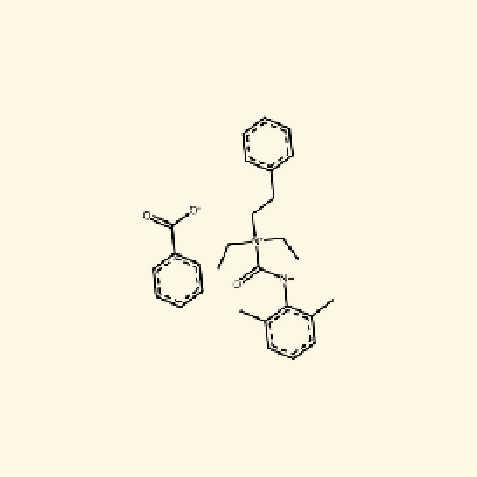 CC[N+](CC)(CCc1ccccc1)C(=O)Nc1c(C)cccc1C.O=C([O-])c1ccccc1